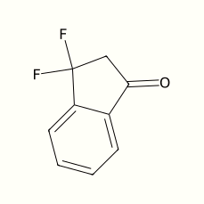 O=C1CC(F)(F)c2ccccc21